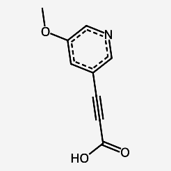 COc1cncc(C#CC(=O)O)c1